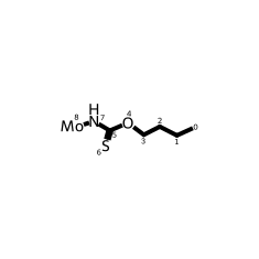 CCCCOC(=S)[NH][Mo]